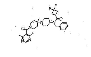 Cc1ncnc(C)c1C(=O)N1CCC(C)(N2CCC(N(Cc3ccccc3)C(=O)C3CC(F)(F)C3)CC2)CC1